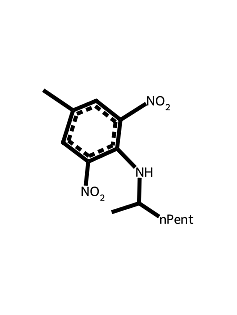 CCCCCC(C)Nc1c([N+](=O)[O-])cc(C)cc1[N+](=O)[O-]